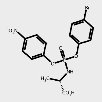 C[C@H](NP(=O)(Oc1ccc(Br)cc1)Oc1ccc([N+](=O)[O-])cc1)C(=O)O